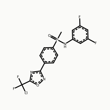 CP(=O)(Nc1cc(F)cc(F)c1)c1ccc(-c2noc(C(F)(F)Cl)n2)cc1